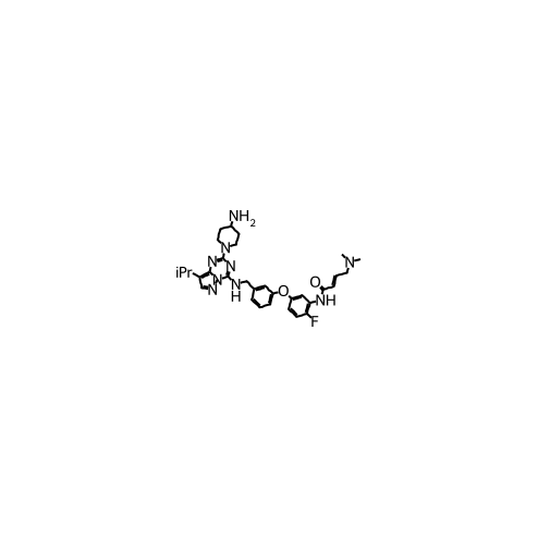 CC(C)c1cnn2c(NCc3cccc(Oc4ccc(F)c(NC(=O)/C=C/CN(C)C)c4)c3)nc(N3CCC(N)CC3)nc12